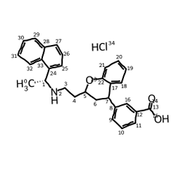 C[C@@H](NCCC1CC(c2cccc(C(=O)O)c2)c2ccccc2O1)c1cccc2ccccc12.Cl